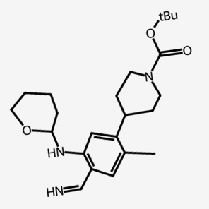 Cc1cc(C=N)c(NC2CCCCO2)cc1C1CCN(C(=O)OC(C)(C)C)CC1